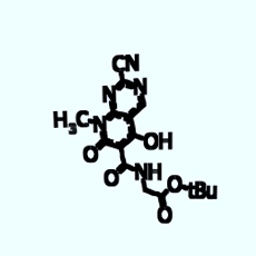 Cn1c(=O)c(C(=O)NCC(=O)OC(C)(C)C)c(O)c2cnc(C#N)nc21